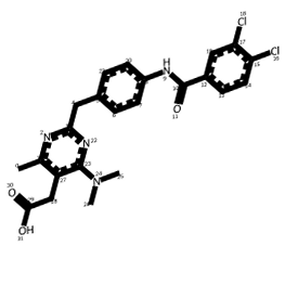 Cc1nc(Cc2ccc(NC(=O)c3ccc(Cl)c(Cl)c3)cc2)nc(N(C)C)c1CC(=O)O